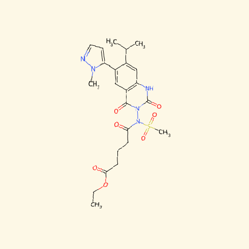 CCOC(=O)CCCC(=O)N(n1c(=O)[nH]c2cc(C(C)C)c(-c3ccnn3C)cc2c1=O)S(C)(=O)=O